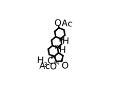 CC(=O)OC1CC[C@@H]2C[C@H]3C(CC[C@]4(C)C3CC(=O)[C@H]4OC(C)=O)CC2C1